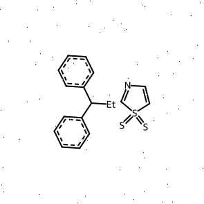 CCC(c1ccccc1)c1ccccc1.S=S1(=S)C=CN=C1